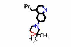 CC(C)Cc1ccnc2ccc(N3CCOC(C)(C)C3)cc12